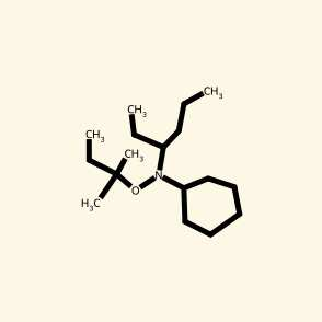 CCCC(CC)N(OC(C)(C)CC)C1CCCCC1